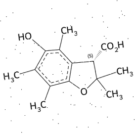 Cc1c(C)c2c(c(C)c1O)[C@H](C(=O)O)C(C)(C)O2